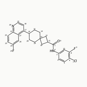 O=C(Nc1ccc(Cl)c(F)c1)C1CC2(CCC(c3ccnc4ccc(F)cc34)CC2)C1